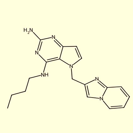 CCCCNc1nc(N)nc2ccn(Cc3cn4ccccc4n3)c12